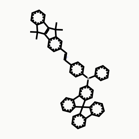 CC1(C)C2=C(c3ccccc31)C(C)(C)c1cc(/C=C/c3ccc(N(c4ccccc4)c4ccc5c(c4)-c4ccccc4C54c5ccccc5-c5ccccc54)cc3)ccc12